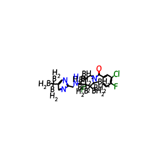 BC(B)(B)c1cnc(CNC(B)(B)C2(F)C(B)(B)CN(C(=O)c3ccc(F)c(Cl)c3)C(B)(B)C2(B)B)nc1